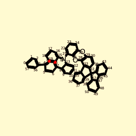 c1ccc(-c2ccc(-c3ccccc3N(c3ccccc3)c3cccc4c3Oc3c(ccc5c3-c3ccccc3C53c5ccccc5-c5ccccc53)O4)cc2)cc1